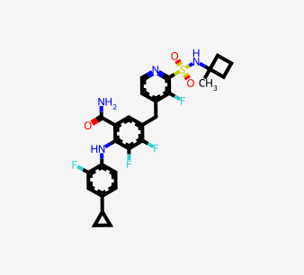 CC1(NS(=O)(=O)c2nccc(Cc3cc(C(N)=O)c(Nc4ccc(C5CC5)cc4F)c(F)c3F)c2F)CCC1